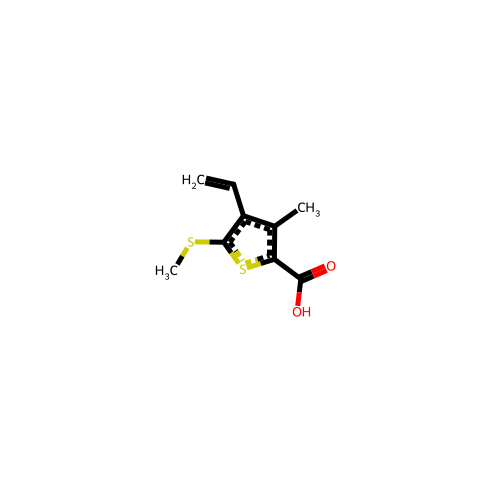 C=Cc1c(SC)sc(C(=O)O)c1C